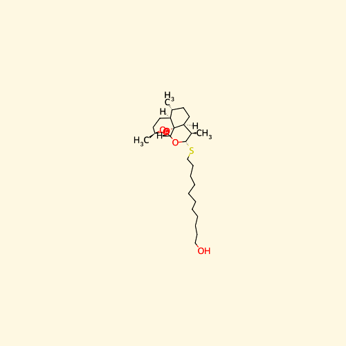 C[C@H]1[C@H](SCCCCCCCCCCCO)O[C@@H]2O[C@@]3(C)CC[C@H]4[C@H](C)CC[C@@H]1[C@@]24OO3